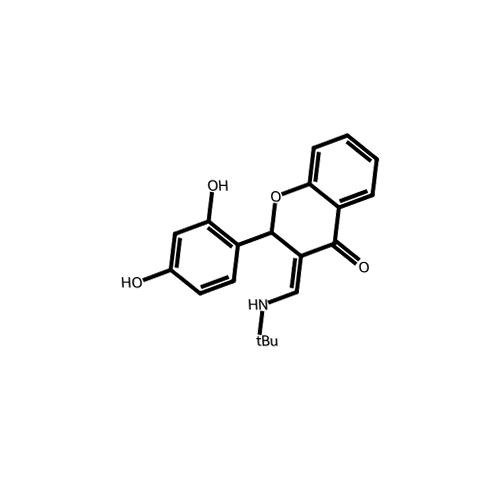 CC(C)(C)NC=C1C(=O)c2ccccc2OC1c1ccc(O)cc1O